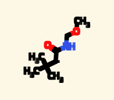 COCNC(=O)[CH]C(C)(C)C